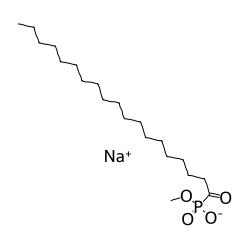 CCCCCCCCCCCCCCCCCCC(=O)P(=O)([O-])OC.[Na+]